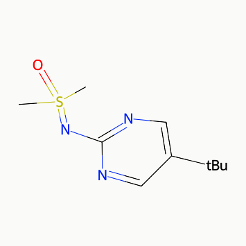 CC(C)(C)c1cnc(N=S(C)(C)=O)nc1